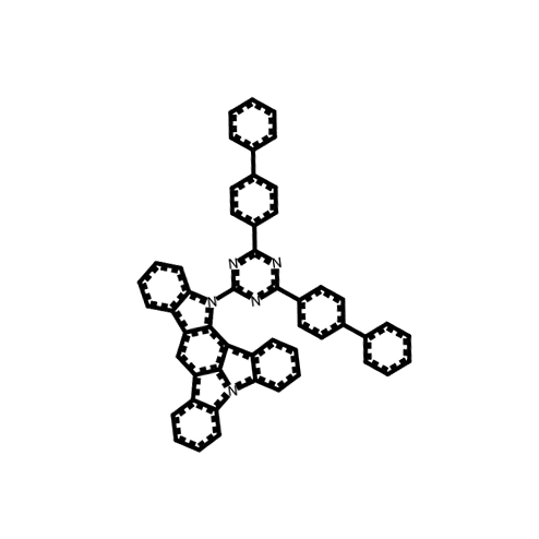 c1ccc(-c2ccc(-c3nc(-c4ccc(-c5ccccc5)cc4)nc(-n4c5ccccc5c5cc6c7ccccc7n7c8ccccc8c(c54)c67)n3)cc2)cc1